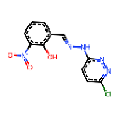 O=[N+]([O-])c1cccc(C=NNc2ccc(Cl)nn2)c1O